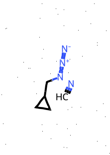 C#N.[N-]=[N+]=NCC1CC1